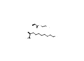 C=C(CCCCCCCCCCCCCCCCCC)C(N)=O.C=CC(=O)NCCO